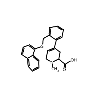 CN1CC=C(c2ccccc2CSc2cccc3ccccc23)CC1C(=O)O